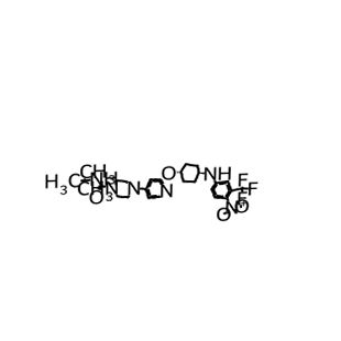 CC(C)(C)NC(=O)N1CCN(c2ccnc(O[C@H]3CC[C@H](Nc4ccc([N+](=O)[O-])c(C(F)(F)F)c4)CC3)c2)CC1